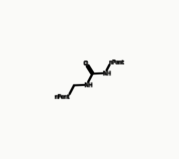 CCCCCCNC(=O)NCCCCC